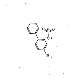 Nc1ccc(-c2ccccc2)cc1.O=[SH](=O)O